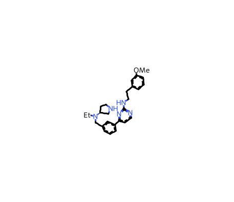 CCN(Cc1cccc(-c2ccnc(NCCc3cccc(OC)c3)n2)c1)[C@H]1CCNC1